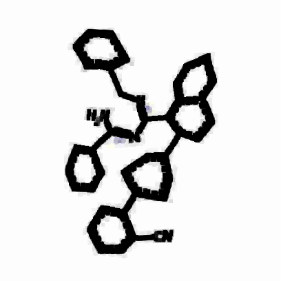 N#Cc1ccccc1-c1ccc(-c2ccc3ccccc3c2C(/N=C(\N)c2ccccc2)=N/Cc2ccccc2)cc1